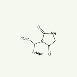 CCCCCCCCC(CCCCCCC)N1C(=O)CNC1=O